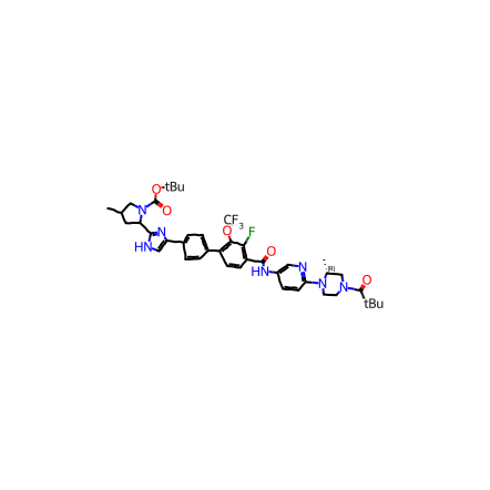 CC1CC(c2nc(-c3ccc(-c4ccc(C(=O)Nc5ccc(N6CCN(C(=O)C(C)(C)C)C[C@H]6C)nc5)c(F)c4OC(F)(F)F)cc3)c[nH]2)N(C(=O)OC(C)(C)C)C1